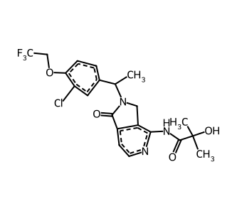 CC(c1ccc(OCC(F)(F)F)c(Cl)c1)N1Cc2c(ccnc2NC(=O)C(C)(C)O)C1=O